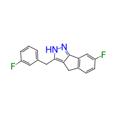 Fc1cccc(Cc2[nH]nc3c2Cc2ccc(F)cc2-3)c1